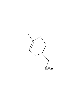 CNCC1CC=C(C)CC1